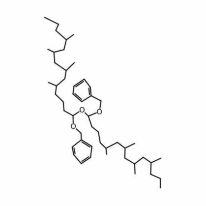 CCCC(C)CC(C)CC(C)CC(C)CCCC(OCc1ccccc1)OC(CCCC(C)CC(C)CC(C)CC(C)CCC)OCc1ccccc1